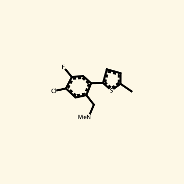 CNCc1cc(Cl)c(F)cc1-c1ccc(C)s1